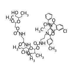 CCC(CO)OC(COC(=O)NCCC(=O)N[C@H](C(=O)OC(OC(=O)NCCCN(C(=O)c1ccc(C)cc1)[C@@H](c1nc2cc(Cl)ccc2c(=O)n1Cc1ccccc1)C(C)C)C(C)C)C(C)C)OC